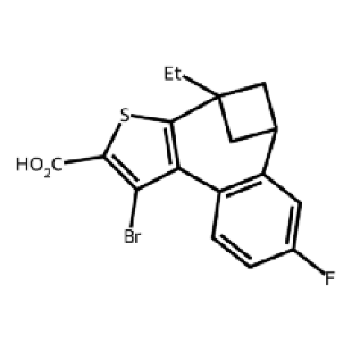 CCC12CC(C1)c1cc(F)ccc1-c1c2sc(C(=O)O)c1Br